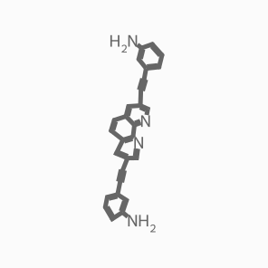 Nc1cccc(C#Cc2cnc3c(ccc4cc(C#Cc5cccc(N)c5)cnc43)c2)c1